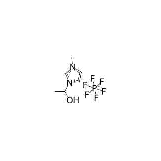 CC(O)[n+]1ccn(C)c1.F[P-](F)(F)(F)(F)F